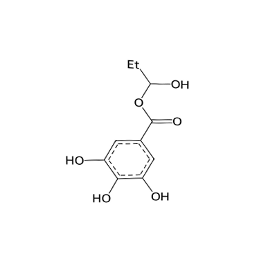 CCC(O)OC(=O)c1cc(O)c(O)c(O)c1